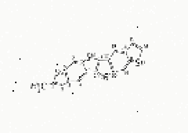 Cc1cc2cc3c(cc2s1)sc1c2cc4ccsc4cc2sc31